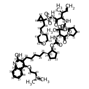 C=C[C@H](C)C(NC(=O)[C@@H]1CCCN1C(=O)[C@@H](NC(=O)OC1CCC[C@H]1CCCCCc1c(O)nc2ccccc2c1OCCN(C)C)C(C)(C)C)C(=O)NS(=O)(=O)C1(CCN2CCOCC2)CC1